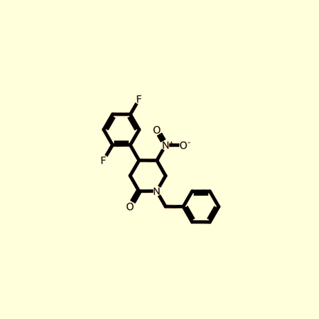 O=C1CC(c2cc(F)ccc2F)C([N+](=O)[O-])CN1Cc1ccccc1